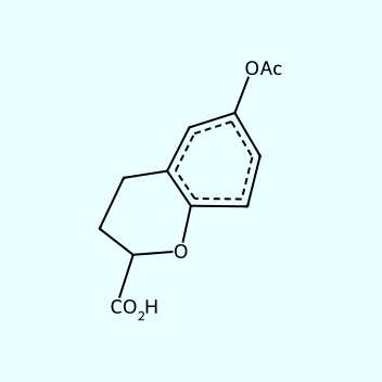 CC(=O)Oc1ccc2c(c1)CCC(C(=O)O)O2